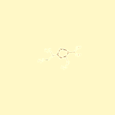 CCC(C)c1ccc(C(O)O)c(OC)c1